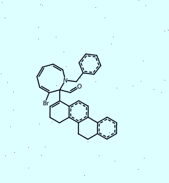 O=CC1(C2=CCCc3c2ccc2c3CCc3ccccc3-2)C(Br)=CC=CC=CN1Cc1ccccc1